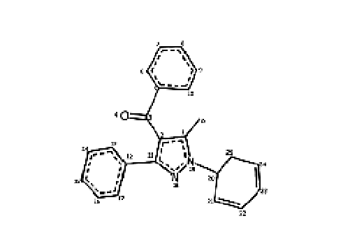 Cc1c(C(=O)c2ccccc2)c(-c2ccccc2)nn1C1C=CC=CC1